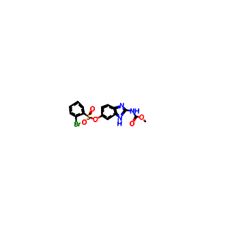 COC(=O)Nc1nc2ccc(OS(=O)(=O)c3ccccc3Br)cc2[nH]1